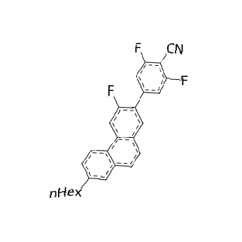 CCCCCCc1ccc2c(ccc3cc(-c4cc(F)c(C#N)c(F)c4)c(F)cc32)c1